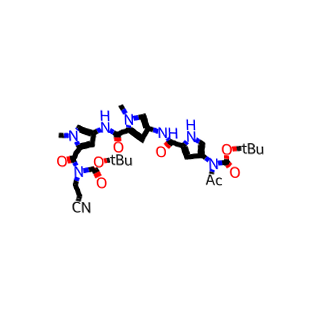 CC(=O)N(C(=O)OC(C)(C)C)c1c[nH]c(C(=O)Nc2cc(C(=O)Nc3cc(C(=O)N(CCC#N)C(=O)OC(C)(C)C)n(C)c3)n(C)c2)c1